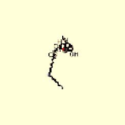 CCCCCCCC/C=C\CCCCCCCC(=O)O[C@@H](C)C(=O)OC1=CC[C@@]2(O)[C@H](N(C)CC)Cc3ccc(O)c4c3[C@@]2(C)[C@H]1O4